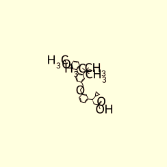 COc1cccc(-c2ccc(COc3cccc([C@H](CC(=O)O)C4CC4)c3)cc2C(C)(C)C)c1